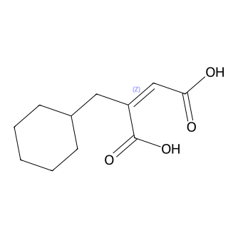 O=C(O)/C=C(/CC1CCCCC1)C(=O)O